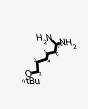 CC(C)(C)OCCCCCC(N)N